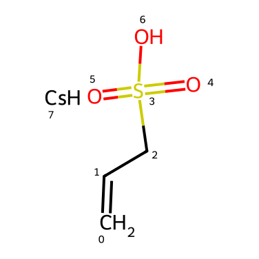 C=CCS(=O)(=O)O.[CsH]